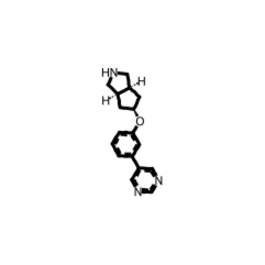 c1cc(O[C@H]2C[C@H]3CNC[C@H]3C2)cc(-c2cncnc2)c1